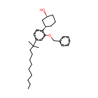 CCCCCCCCCC(C)(C)c1ccc([C@@H]2CCC[C@H](O)C2)c(OCc2ccccc2)c1